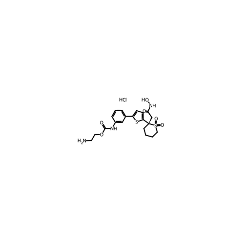 Cl.NCCOC(=O)Nc1cccc(-c2ccc([C@@]3(CC(=O)NO)CCCCS3(=O)=O)s2)c1